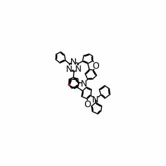 c1ccc(-c2nc(-c3ccccc3)nc(-c3cccc4oc5ccc(-n6c7ccccc7c7cc8c(cc76)N(c6ccccc6)c6ccccc6O8)cc5c34)n2)cc1